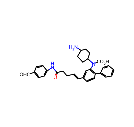 NC1CCC(N(C(=O)O)c2cc(C=CCCC(=O)Nc3ccc(C=O)cc3)ccc2-c2ccccc2)CC1